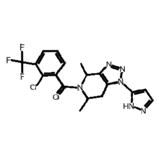 CC1Cc2c(nnn2-c2ccn[nH]2)C(C)N1C(=O)c1cccc(C(F)(F)F)c1Cl